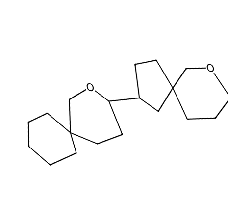 C1CCC2(CC1)CCC(C1CCC3(CCCOC3)C1)OC2